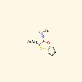 CC(=O)NC(Sc1ccccc1)C(=O)N1CC1C#N